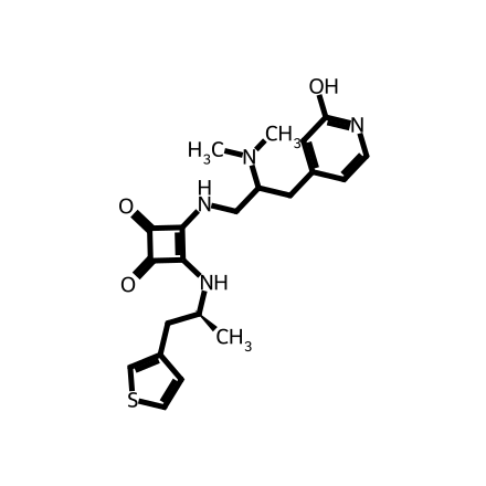 C[C@@H](Cc1ccsc1)Nc1c(NCC(Cc2ccnc(O)c2)N(C)C)c(=O)c1=O